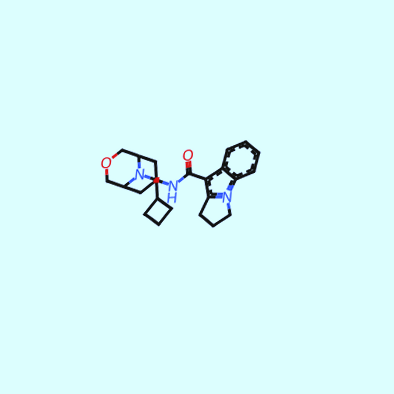 O=C(NC1CC2COCC(C1)N2CC1CCC1)c1c2n(c3ccccc13)CCC2